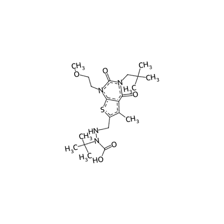 COCCn1c(=O)n(CC(C)(C)C)c(=O)c2c(C)c(CNN(C(=O)O)C(C)(C)C)sc21